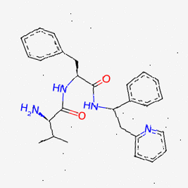 CC(C)[C@@H](N)C(=O)N[C@@H](Cc1ccccc1)C(=O)NC(Cc1ccccn1)c1ccccc1